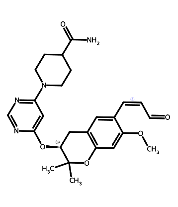 COc1cc2c(cc1/C=C\C=O)C[C@H](Oc1cc(N3CCC(C(N)=O)CC3)ncn1)C(C)(C)O2